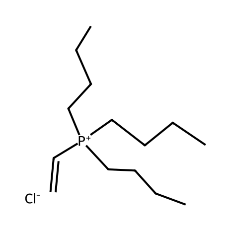 C=C[P+](CCCC)(CCCC)CCCC.[Cl-]